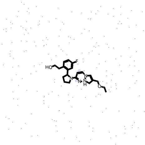 CCOCC1=CN(/C=C\C(=N/C)N2CCCC2c2cc(F)ccc2CCO)NC1